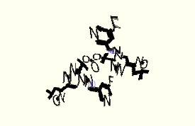 CC1(C)CC(C2=NN=C(C(C)(C)OC(=O)OC(C)(C)C3=NN=C(C4=NOC(C)(C)C4)CN3/N=C/c3cncc(F)c3)N(/N=C/c3cncc(F)c3)C2)=NO1